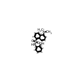 CN(C)c1cccc2c(S(=O)(=O)Nc3ccccc3O)cccc12